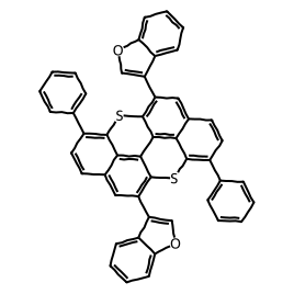 c1ccc(-c2ccc3cc(-c4coc5ccccc45)c4sc5c(-c6ccccc6)ccc6cc(-c7coc8ccccc78)c7sc2c3c4-c7c65)cc1